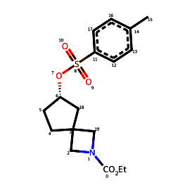 CCOC(=O)N1CC2(CC[C@H](OS(=O)(=O)c3ccc(C)cc3)C2)C1